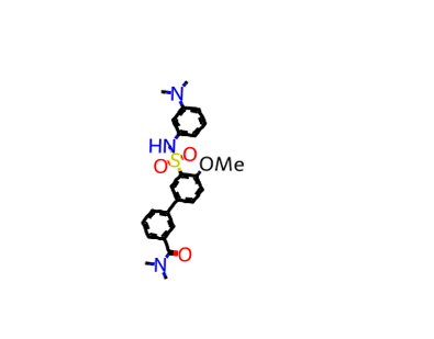 COc1ccc(-c2cccc(C(=O)N(C)C)c2)cc1S(=O)(=O)Nc1cccc(N(C)C)c1